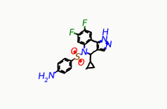 Nc1ccc(S(=O)(=O)N2c3cc(F)c(F)cc3-c3[nH]ncc3C2C2CC2)cc1